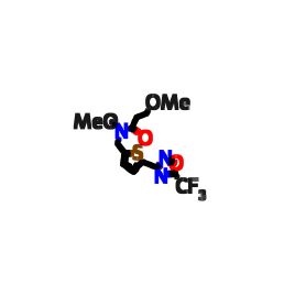 COCCC(=O)N(Cc1ccc(-c2noc(C(F)(F)F)n2)s1)OC